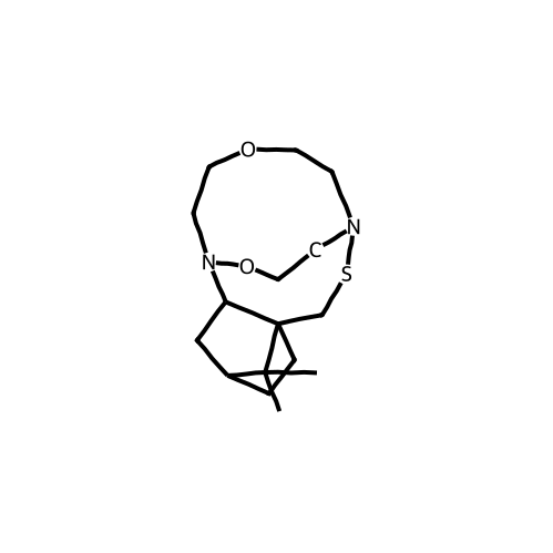 CC1(C)C2CCC13CSN1CCOCCN(OCC1)C3C2